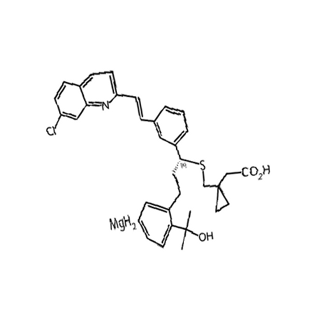 CC(C)(O)c1ccccc1CC[C@@H](SCC1(CC(=O)O)CC1)c1cccc(C=Cc2ccc3ccc(Cl)cc3n2)c1.[MgH2]